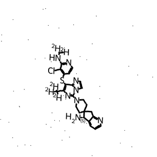 [2H]C([2H])Nc1nccc(Sc2c(C([2H])([2H])[2H])nc(N3CCC4(CC3)Cc3ncccc3[C@H]4N)n3ccnc23)c1Cl